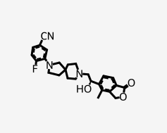 Cc1c([C@@H](O)CN2CCC3(CC2)CCN(c2cc(C#N)ccc2F)C3)ccc2c1COC2=O